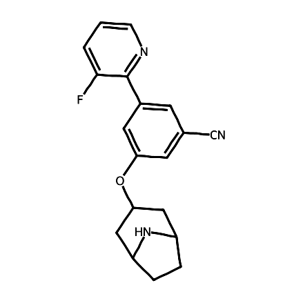 N#Cc1cc(OC2CC3CCC(C2)N3)cc(-c2ncccc2F)c1